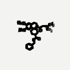 COc1cc2c(cc1OC)[C@]1(CC[C@H](C(=O)OCc3ccccc3)CC1)N(C(=O)CN(C)C)CC2